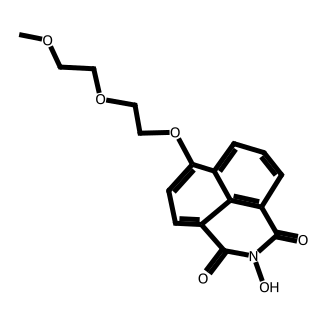 COCCOCCOc1ccc2c3c(cccc13)C(=O)N(O)C2=O